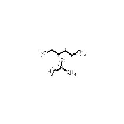 CCCCCC.[CH2]CN(C)C